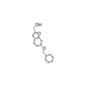 OCc1cc2ccc(OCc3ccccc3)cc2o1